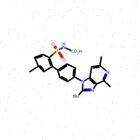 Cc1ccc(S(=O)(=O)NC(=O)O)c(-c2ccc(-n3c(C(C)(C)C)nc4c(C)nc(C)cc43)cc2)c1